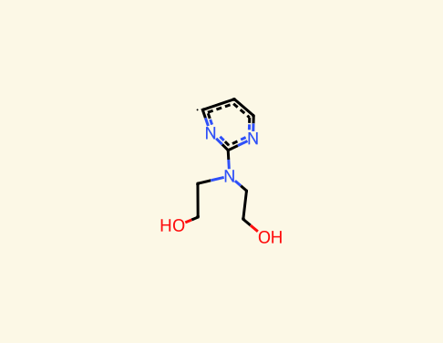 OCCN(CCO)c1n[c]ccn1